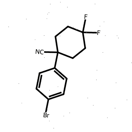 N#CC1(c2ccc(Br)cc2)CCC(F)(F)CC1